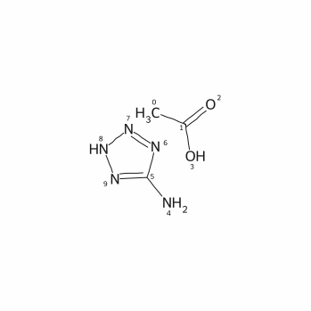 CC(=O)O.Nc1nn[nH]n1